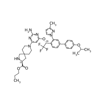 CCCOC(=O)[C@@H]1CC2(CCN(c3cc(O[C@H](c4ccc(-c5ccc(OC(C)C)cc5)cc4-n4ccc(C)n4)C(F)(F)F)nc(N)n3)CC2)CN1